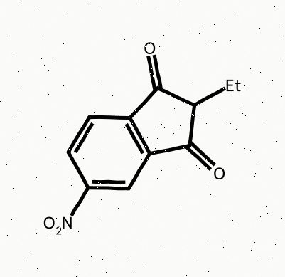 CCC1C(=O)c2ccc([N+](=O)[O-])cc2C1=O